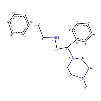 CN1CCN(C(CNCCc2ccccc2)c2ccccc2)CC1